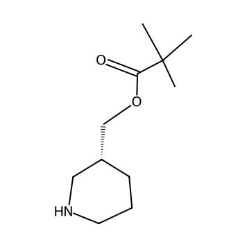 CC(C)(C)C(=O)OC[C@@H]1CCCNC1